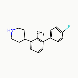 Cc1c(-c2ccc(F)cc2)cccc1C1CCNCC1